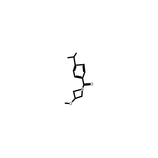 COC1CN(C(=O)c2ccc(C(C)C)cc2)C1